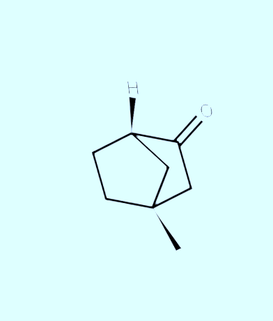 C[C@@]12CC[C@@H](C1)C(=O)C2